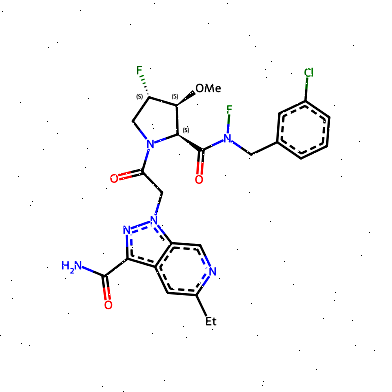 CCc1cc2c(C(N)=O)nn(CC(=O)N3C[C@H](F)[C@@H](OC)[C@H]3C(=O)N(F)Cc3cccc(Cl)c3)c2cn1